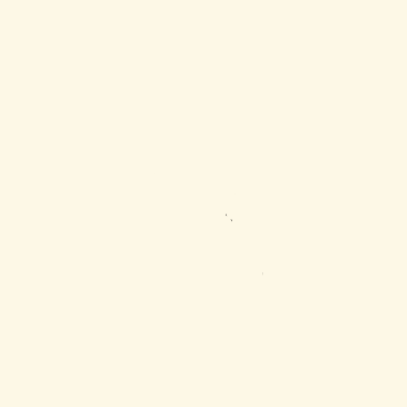 CC([C]=O)Nc1cccc(Cc2ccccc2)c1Cc1ccccc1